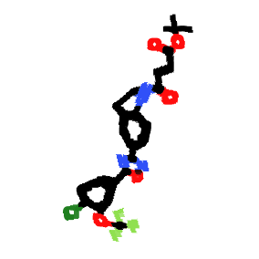 CC(C)(C)OC(=O)CCC(=O)N1CCc2cc(-c3noc(-c4ccc(Cl)c(OC(F)(F)F)c4)n3)ccc21